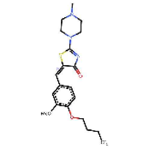 COc1cc(/C=C2/SC(N3CCN(C)CC3)=NC2=O)ccc1OCCCC(F)(F)F